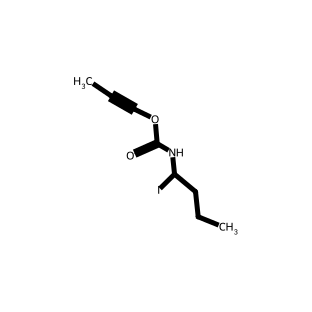 CC#COC(=O)NC(I)CCC